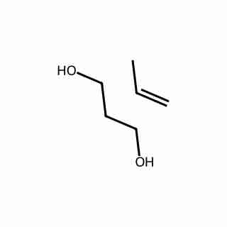 C=CC.OCCCO